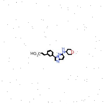 O=C(O)C=Cc1cccc(-c2cnc3ccc(NC4CCOCC4)nn23)c1